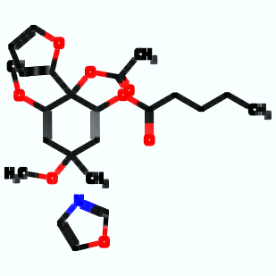 CCCCC(=O)OC1=CC(C)(OC)C=C(OC)C1(OC(C)=O)c1ccco1.c1cocn1